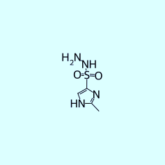 Cc1nc(S(=O)(=O)NN)c[nH]1